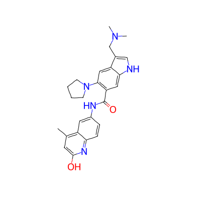 Cc1cc(O)nc2ccc(NC(=O)c3cc4[nH]cc(CN(C)C)c4cc3N3CCCC3)cc12